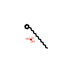 CCCCCCCCCCCCCCCc1ccccc1.O=C(O)O